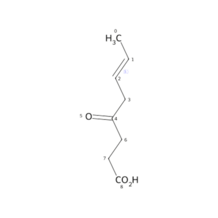 C/C=C/CC(=O)CCC(=O)O